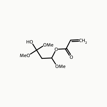 C=CC(=O)OC(CC(O)(OC)OC)OC